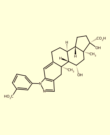 C[C@]12Cc3cnn(-c4cccc(C(=O)O)c4)c3C=C1CC[C@@H]1[C@@H]2[C@@H](O)C[C@@]2(C)[C@H]1CC[C@]2(O)C(=O)O